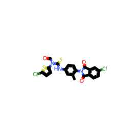 Cc1cc(NC(=S)N(C=O)c2ccc(Cl)s2)ccc1N1C(=O)c2ccc(Cl)cc2C1=O